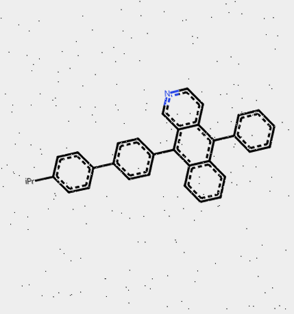 CC(C)c1ccc(-c2ccc(-c3c4ccccc4c(-c4ccccc4)c4ccncc34)cc2)cc1